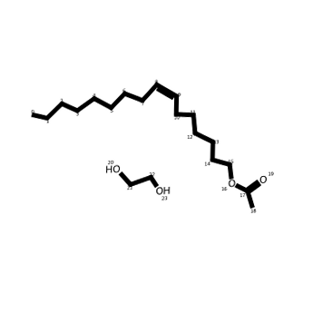 CCCCCCCC/C=C\CCCCCCOC(C)=O.OCCO